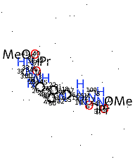 COC(=O)N[C@H](C(=O)N1CCC[C@H]1c1ncc(-c2ccc(-c3ccc(-c4ccc5nc([C@@H]6CCCN6C(=O)[C@@H](NC(=O)OC)C(C)C)[nH]c5c4)c4c(C)ccc(C)c34)nc2)[nH]1)C(C)C